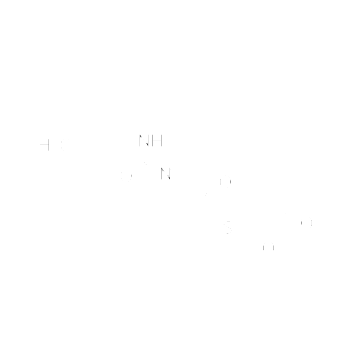 Cc1cccc(NC(=O)N2CCC3(CC2)CSC2=C(O3)c3ccccc3C(=O)C2=O)c1